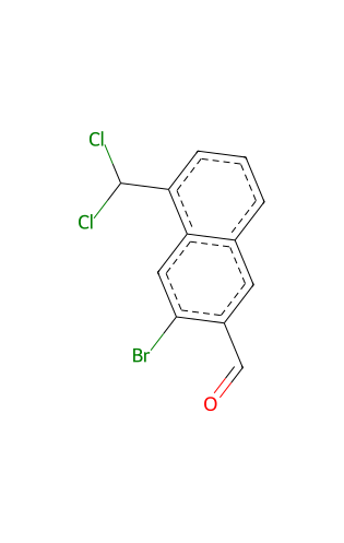 O=Cc1cc2cccc(C(Cl)Cl)c2cc1Br